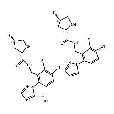 Cl.Cl.O=C(NCc1c(-n2cncn2)ccc(Cl)c1F)[C@@H]1C[C@@H](F)CN1.O=C(NCc1c(-n2cncn2)ccc(Cl)c1F)[C@@H]1C[C@@H](F)CN1